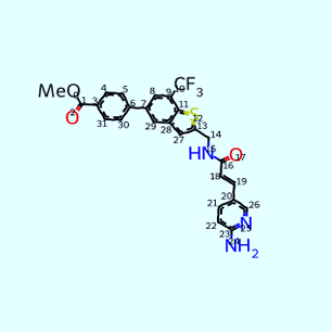 COC(=O)c1ccc(-c2cc(C(F)(F)F)c3sc(CNC(=O)/C=C/c4ccc(N)nc4)cc3c2)cc1